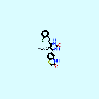 O=C1CSc2ccc([C@H]3NC(=O)NC(CCc4ccccc4Cl)=C3C(=O)O)cc2N1